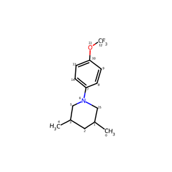 CC1CC(C)CN(c2ccc(OC(F)(F)F)cc2)C1